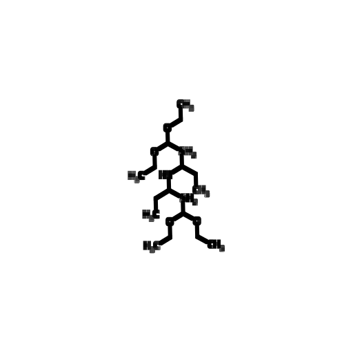 CCOC(OCC)[SiH2]C(CC)NC(CC)[SiH2]C(OCC)OCC